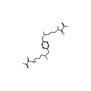 C=C(C)C(=O)NCCCN(C)Cc1ccc(CN(C)CCCNC(=O)C(=C)C)cc1